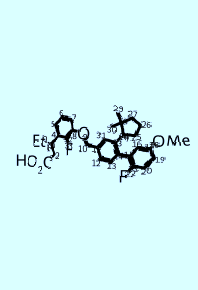 CC[C@@H](CC(=O)O)c1cccc(OCc2ccc(-c3cc(OC)ccc3F)c([C@@H]3CCCC3(C)C)c2)c1F